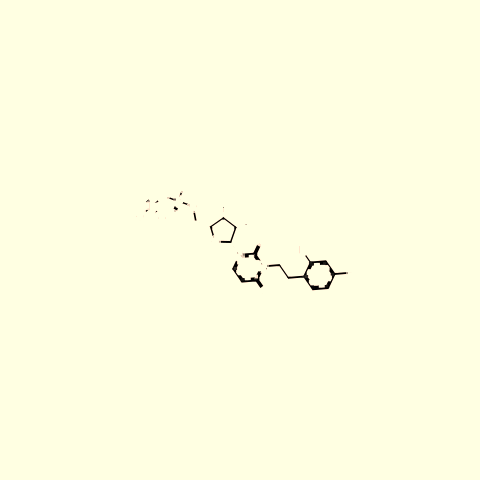 O=c1ccn([C@@H]2O[C@H](COP(=O)(O)OP(=O)(O)O)[C@H](O)[C@@H]2O)c(=O)n1CCc1ccc(F)cc1F